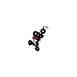 N#CC1=CC=C(c2cccc3c2OC2C=CC=CC2C32c3ccccc3-c3c(-c4nc(-c5ccccc5)nc(-c5ccccc5)n4)cccc32)CC1